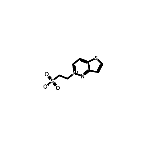 O=S(=O)([O-])CC[n+]1ccc2sccc2n1